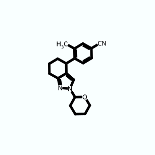 Cc1cc(C#N)ccc1C1CCCc2nn(C3CCCCO3)cc21